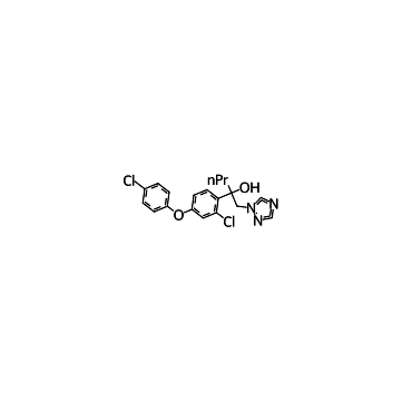 CCCC(O)(Cn1cncn1)c1ccc(Oc2ccc(Cl)cc2)cc1Cl